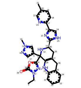 CCn1nc(C2(c3cnn(C)c3)N[C@@H](c3nc(-c4ccc(C)cn4)c[nH]3)CC3=C2Nc2ccccc2C3)oc1=O